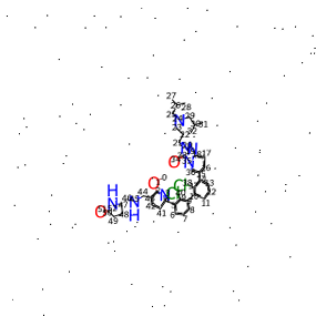 COc1nc(-c2cccc(-c3cccc(-c4ccc5nn(CCCN(CC(C)C)CC(C)C)c(=O)n5c4)c3Cl)c2Cl)ccc1CNC[C@@H]1CCC(=O)N1